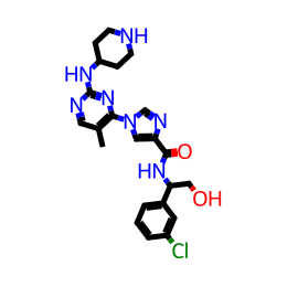 Cc1cnc(NC2CCNCC2)nc1-n1cnc(C(=O)NC(CO)c2cccc(Cl)c2)c1